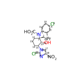 CC(C)C[C@]1(N(C(=O)O)c2ccc(Cl)cc2)CCCC(n2cc([N+](=O)[O-])nc2Cl)C1O